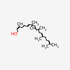 C=C(C/C=C(\C)CCC=C(C)C)CCC(C)(C)/C=C/CC/C(C)=C\CO